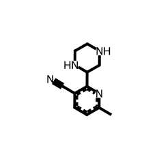 Cc1ccc(C#N)c(C2CNCCN2)n1